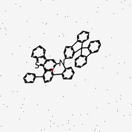 c1ccc(-c2ccc(-c3ccccc3N(c3ccc4c(c3)C3(c5ccccc5-c5ccccc53)c3ccccc3-4)c3ccc4sc5ccccc5c4c3)cc2)cc1